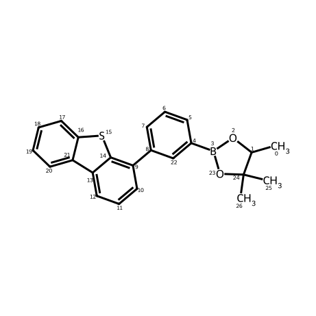 CC1OB(c2cccc(-c3cccc4c3sc3ccccc34)c2)OC1(C)C